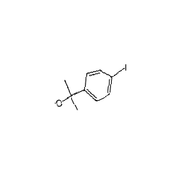 CC(C)([O])c1ccc(I)cc1